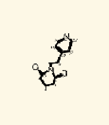 O=C1CCCC(=O)N1CCc1ccncc1